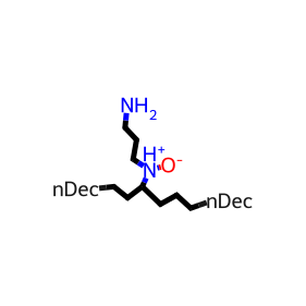 CCCCCCCCCCCCCC(CCCCCCCCCCCC)[NH+]([O-])CCCN